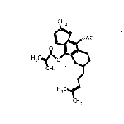 C=C(C)C(=O)Oc1c2c(c(OC(C)=O)c3cc(C)ccc13)CCC(CCC=C(C)C)C2